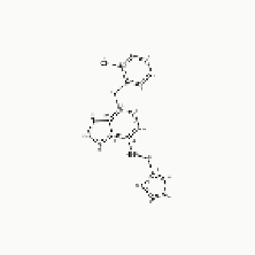 Clc1ccccc1Cn1cnc(NCc2ccco2)c2ncnc1-2